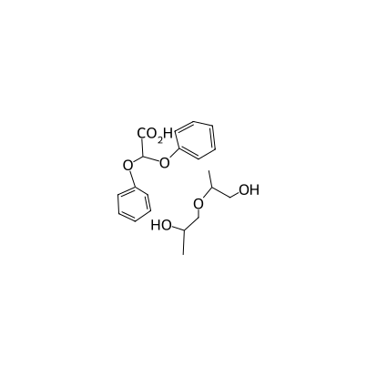 CC(O)COC(C)CO.O=C(O)C(Oc1ccccc1)Oc1ccccc1